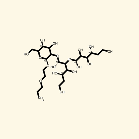 NCCOCCO[C@H]1OC(CO)[C@@H](O)C(O)C1O[C@@H](O)C(O[C@H](O)C(O)C(O)[C@H](O)CCO)C(O)[C@H](O)CCO